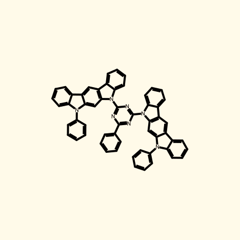 c1ccc(-c2nc(-n3c4ccccc4c4cc5c6ccccc6n(-c6ccccc6)c5cc43)nc(-n3c4ccccc4c4cc5c6ccccc6n(-c6ccccc6)c5cc43)n2)cc1